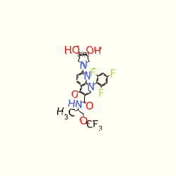 CC(COC(F)(F)F)NC(=O)c1cn(-c2c(F)cc(F)cc2F)c2nc(N3C[C@@H](O)[C@H](O)C3)ccc2c1=O